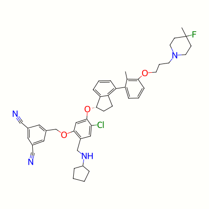 Cc1c(OCCCN2CCC(C)(F)CC2)cccc1-c1cccc2c1CC[C@@H]2Oc1cc(OCc2cc(C#N)cc(C#N)c2)c(CNC2CCCC2)cc1Cl